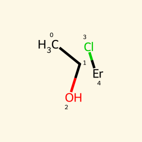 CCO.[Cl][Er]